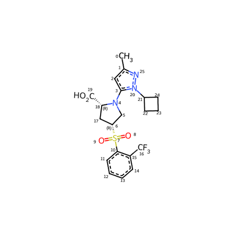 Cc1cc(N2C[C@H](S(=O)(=O)c3ccccc3C(F)(F)F)C[C@@H]2C(=O)O)n(C2CCC2)n1